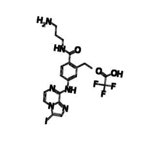 CCc1cc(Nc2nccn3c(I)cnc23)ccc1C(=O)NCCCN.O=C(O)C(F)(F)F